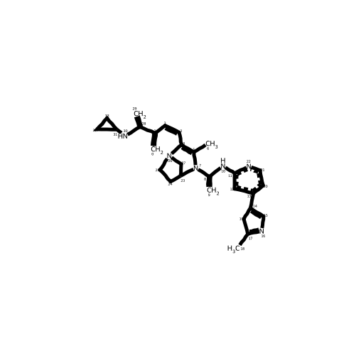 C=C(/C=C\C1=C(C)N(C(=C)Nc2cc(C3=CN=C(C)C3)ccn2)C2CCN1C2)C(=C)NC1CC1